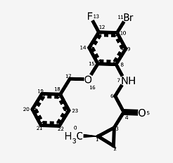 C[C@@H]1CC1C(=O)CNc1cc(Br)c(F)cc1OCc1ccccc1